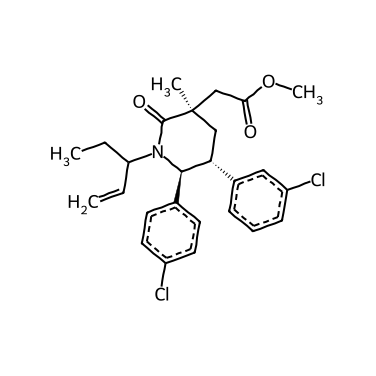 C=CC(CC)N1C(=O)[C@@](C)(CC(=O)OC)C[C@H](c2cccc(Cl)c2)[C@H]1c1ccc(Cl)cc1